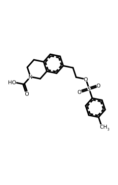 Cc1ccc(S(=O)(=O)OCCc2ccc3c(c2)CN(C(=O)O)CC3)cc1